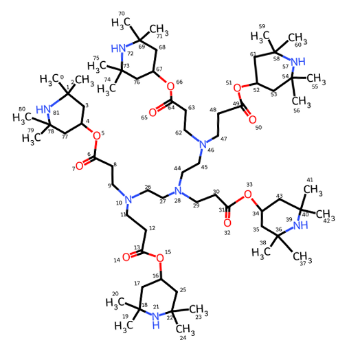 CC1(C)CC(OC(=O)CCN(CCC(=O)OC2CC(C)(C)NC(C)(C)C2)CCN(CCC(=O)OC2CC(C)(C)NC(C)(C)C2)CCN(CCC(=O)OC2CC(C)(C)NC(C)(C)C2)CCC(=O)OC2CC(C)(C)NC(C)(C)C2)CC(C)(C)N1